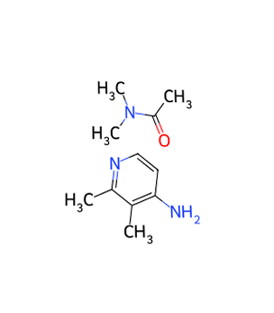 CC(=O)N(C)C.Cc1nccc(N)c1C